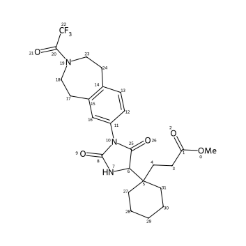 COC(=O)CCC1(C2NC(=O)N(c3ccc4c(c3)CCN(C(=O)C(F)(F)F)CC4)C2=O)CCCCC1